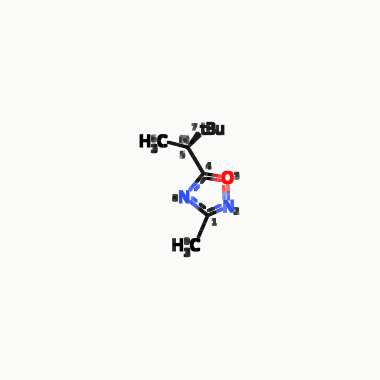 Cc1noc([C@@H](C)C(C)(C)C)n1